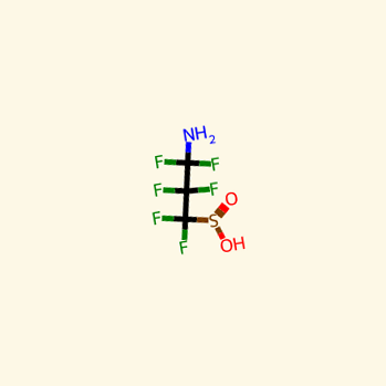 NC(F)(F)C(F)(F)C(F)(F)S(=O)O